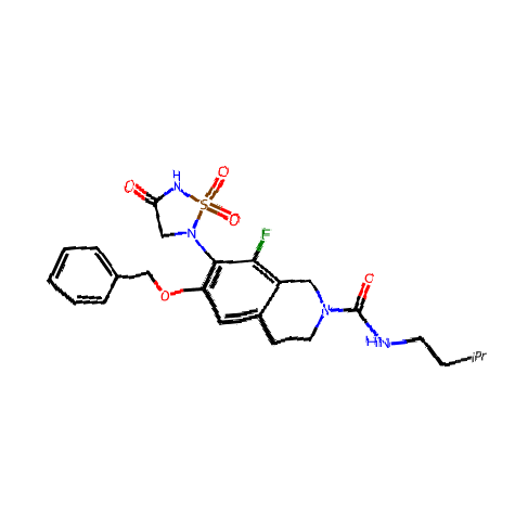 CC(C)CCNC(=O)N1CCc2cc(OCc3ccccc3)c(N3CC(=O)NS3(=O)=O)c(F)c2C1